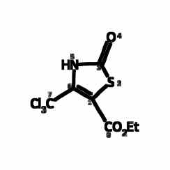 CCOC(=O)c1sc(=O)[nH]c1C(Cl)(Cl)Cl